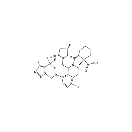 C[C@@H]1CC(=O)N(CC2c3c(OCc4nnn(C)c4C(F)(F)F)ccc(Cl)c3CCN2C(=O)[C@H]2CCCC[C@]2(C)C(=O)O)C1